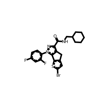 O=C(NCC1CCCCC1)c1nn(-c2ccc(F)cc2F)c2c1Cc1cc(Br)sc1-2